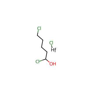 OC(Cl)CCCCCl.[Cl][Hf]